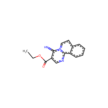 CCOC(=O)c1cnc2c3ccccc3ccn2c1=N